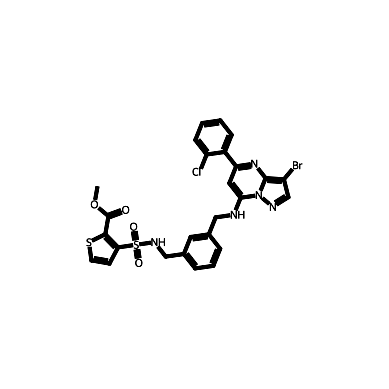 COC(=O)c1sccc1S(=O)(=O)NCc1cccc(CNc2cc(-c3ccccc3Cl)nc3c(Br)cnn23)c1